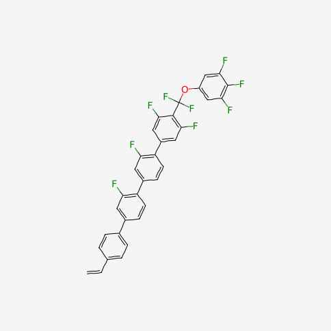 C=Cc1ccc(-c2ccc(-c3ccc(-c4cc(F)c(C(F)(F)Oc5cc(F)c(F)c(F)c5)c(F)c4)c(F)c3)c(F)c2)cc1